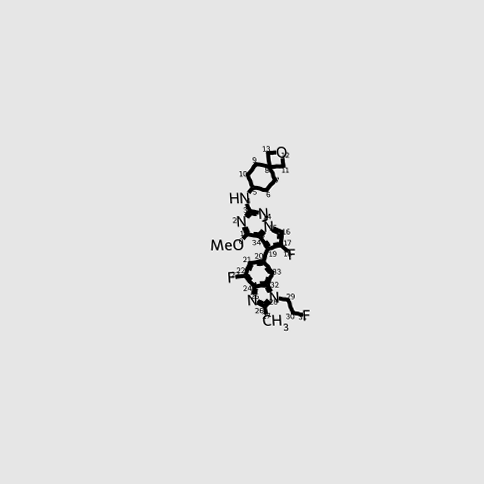 COc1nc(NC2CCC3(CC2)COC3)nn2cc(F)c(-c3cc(F)c4nc(C)n(CCF)c4c3)c12